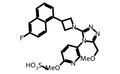 COCc1nnc(N2CC(c3cccc4cc(F)ccc34)C2)n1-c1ccc(OC)nc1.CS(=O)(=O)O